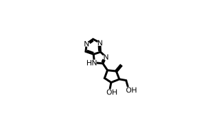 C=C1C(c2nc3ncncc3[nH]2)CC(O)C1CO